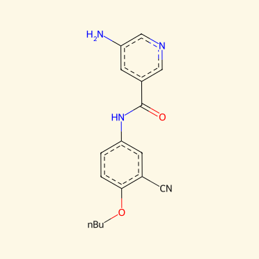 CCCCOc1ccc(NC(=O)c2cncc(N)c2)cc1C#N